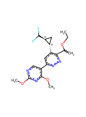 C=C(OCC)c1nnc(-c2cnc(OC)nc2OC)cc1[C@H]1C[C@@H]1C(F)F